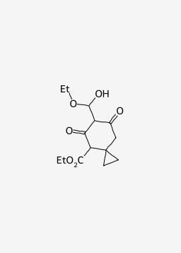 CCOC(=O)C1C(=O)C(C(O)OCC)C(=O)CC12CC2